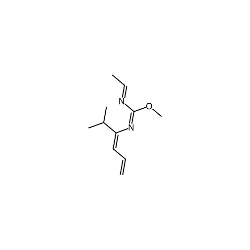 C=C\C=C(/N=C(\N=C\C)OC)C(C)C